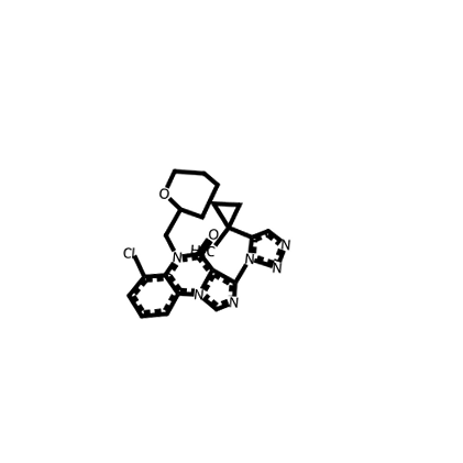 CC1(c2cnnn2-c2ncn3c2c(=O)n(CC2CCCCO2)c2c(Cl)cccc23)CC1